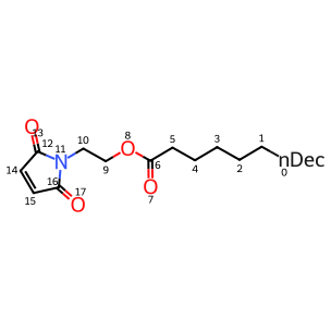 CCCCCCCCCCCCCCCC(=O)OCCN1C(=O)C=CC1=O